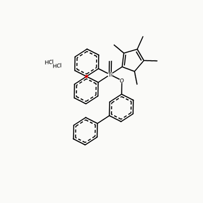 Cl.Cl.[CH2]=[Ti]([O]c1cccc(-c2ccccc2)c1)([C]1=C(C)C(C)=C(C)C1C)([c]1ccccc1)[c]1ccccc1